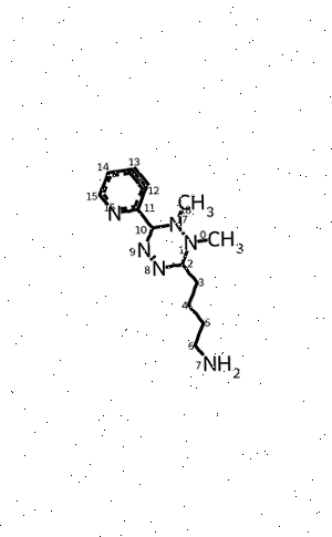 CN1C(CCCCN)N=NC(c2c#cccn2)N1C